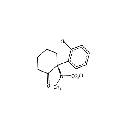 [CH2]COC(=O)N(C)[C@]1(c2ccccc2Cl)CCCCC1=O